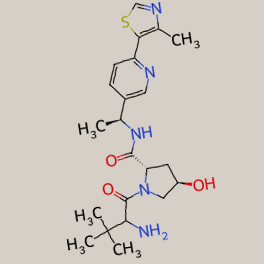 Cc1ncsc1-c1ccc([C@H](C)NC(=O)[C@@H]2C[C@@H](O)CN2C(=O)C(N)C(C)(C)C)cn1